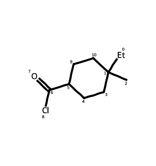 CCC1(C)CCC(C(=O)Cl)CC1